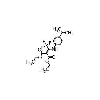 CCOC(=O)C(C(=O)OCC)=C(Nc1ccc(C(C)C)cc1)C(F)(F)F